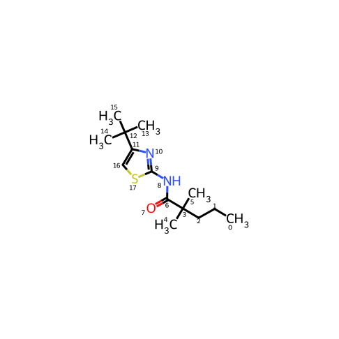 CCCC(C)(C)C(=O)Nc1nc(C(C)(C)C)cs1